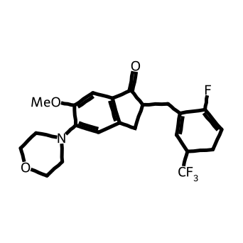 COc1cc2c(cc1N1CCOCC1)CC(CC1=CC(C(F)(F)F)CC=C1F)C2=O